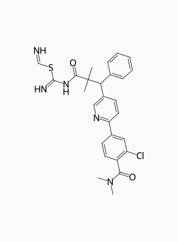 CN(C)C(=O)c1ccc(-c2ccc(C(c3ccccc3)C(C)(C)C(=O)NC(=N)SC=N)cn2)cc1Cl